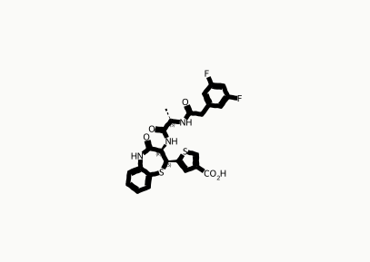 C[C@H](NC(=O)Cc1cc(F)cc(F)c1)C(=O)N[C@@H]1C(=O)Nc2ccccc2S[C@@H]1c1cc(C(=O)O)cs1